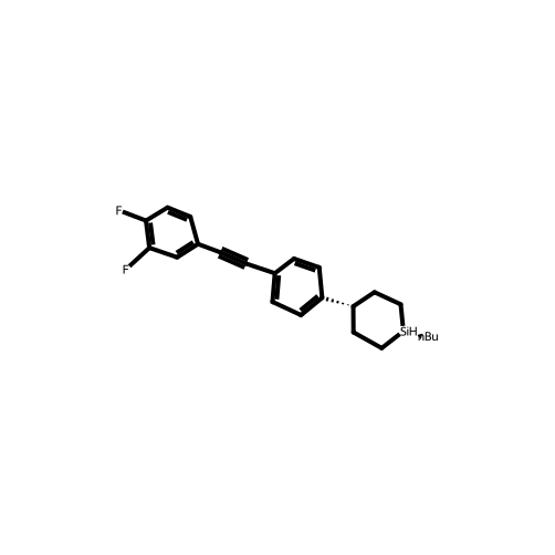 CCCC[Si@H]1CC[C@H](c2ccc(C#Cc3ccc(F)c(F)c3)cc2)CC1